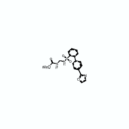 COC(=O)NCNS(=O)(=O)c1ccccc1-c1ccc(-c2ncco2)cc1